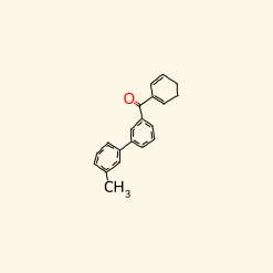 Cc1cccc(-c2cccc(C(=O)C3=CCCC=C3)c2)c1